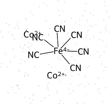 N#[C][Fe-4]([C]#N)([C]#N)([C]#N)([C]#N)[C]#N.[Co+2].[Co+2]